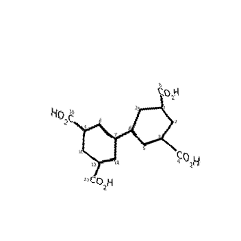 O=C(O)C1CC(C(=O)O)CC(C2CC(C(=O)O)CC(C(=O)O)C2)C1